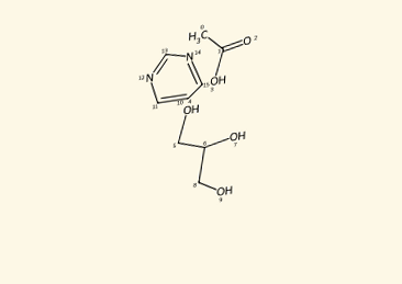 CC(=O)O.OCC(O)CO.c1cncnc1